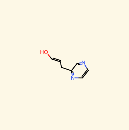 OC=CCc1cnccn1